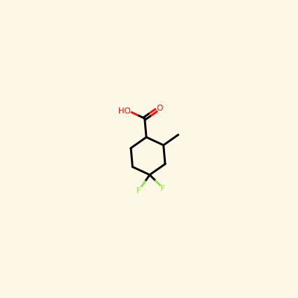 CC1CC(F)(F)CCC1C(=O)O